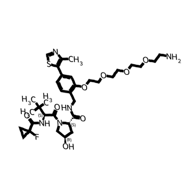 Cc1ncsc1-c1ccc(CNC(=O)[C@@H]2C[C@@H](O)CN2C(=O)[C@@H](NC(=O)C2(F)CC2)C(C)(C)C)c(OCCOCCOCCOCCN)c1